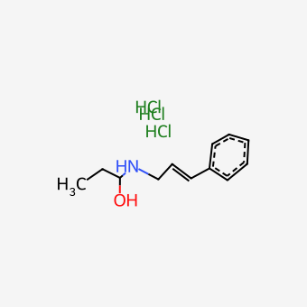 CCC(O)NCC=Cc1ccccc1.Cl.Cl.Cl